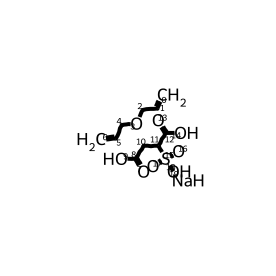 C=CCOCC=C.O=C(O)CC(C(=O)O)S(=O)(=O)O.[NaH]